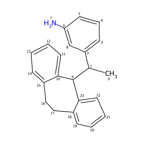 CC(c1cccc(N)c1)C1c2ccccc2CCc2ccccc21